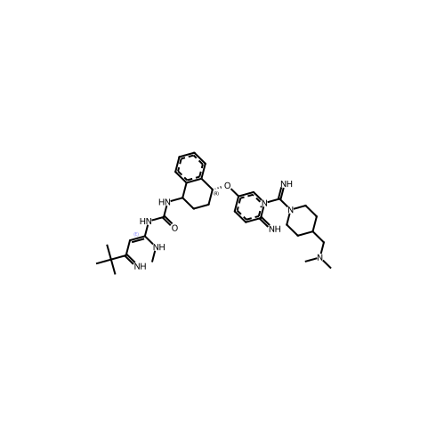 CN/C(=C\C(=N)C(C)(C)C)NC(=O)NC1CC[C@@H](Oc2ccc(=N)n(C(=N)N3CCC(CN(C)C)CC3)c2)c2ccccc21